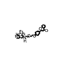 CCOC(O)C(Cc1ccncc1)NCCOCCOc1ccc(-c2cc(=O)c3ccccc3o2)cc1